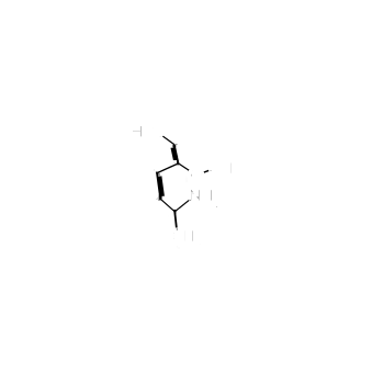 C/C=C(\C=C/C(C)N)OC